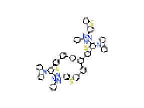 c1ccc(-c2cccc(-c3ccc4c(c3)sc3c(-c5nc(-c6ccccc6)nc(-c6ccc7c(c6)sc6ccc(-c8cccc(-c9cccc(-c%10ccc%11c(c%10)sc%10c(-c%12nc(-c%13ccccc%13)nc(-c%13ccc%14sc%15ccccc%15c%14c%13)n%12)cc(-n%12c%13ccccc%13c%13ccccc%13%12)cc%10%11)c9)c8)cc67)n5)cc(-n5c6ccccc6c6ccccc65)cc34)c2)cc1